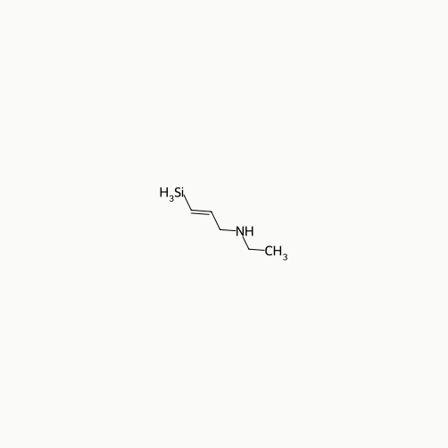 CCNCC=C[SiH3]